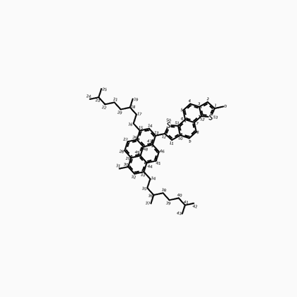 Cc1cc2ccc3c(ccc4cc(-c5cc(CCC(C)CCCC(C)C)c6ccc7c(C)cc(CCC(C)CCCC(C)C)c8ccc5c6c78)sc43)c2s1